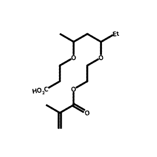 C=C(C)C(=O)OCCOC(CC)CC(C)OCCC(=O)O